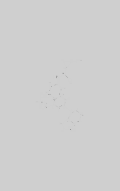 Nc1nc(-c2cncc3c2CCN3)cc2cc(NC(=O)C3CC3F)ncc12.O=CO